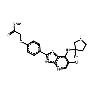 CC[C@]1(Nc2c(Cl)cnc3[nH]c(-c4ccc(OCC(=O)NC)cc4)nc23)CCNC1